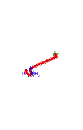 CCCN(OCCNC(=O)OC1CCC1)C(=O)C1=Cc2sc(CN3CCN(CCOCCOCCOCCOCCOCCOCCOCCOCCOCCOCCC(=O)Oc4c(F)c(F)cc(F)c4F)CC3)cc2N=C(N)C1